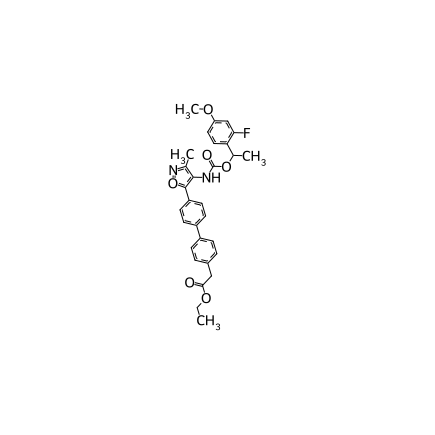 CCOC(=O)Cc1ccc(-c2ccc(-c3onc(C)c3NC(=O)OC(C)c3ccc(OC)cc3F)cc2)cc1